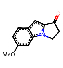 COc1ccc2cc3n(c2c1)CCC3=O